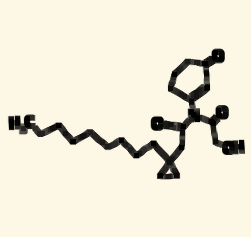 CCCCCCCCCC1(CC(=O)N(C(=O)CO)C2=CC(=O)CCC2)CC1